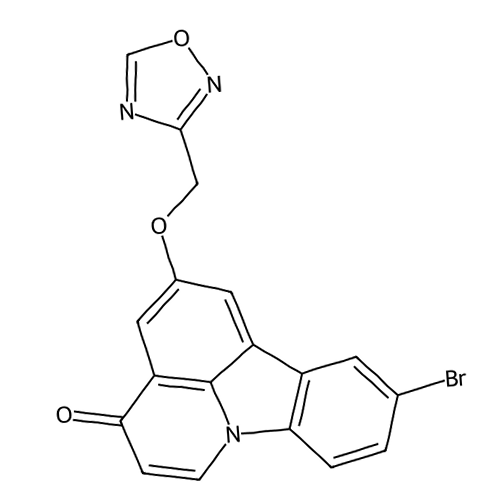 O=c1ccn2c3ccc(Br)cc3c3cc(OCc4ncon4)cc1c32